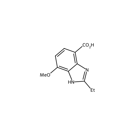 CCc1nc2c(C(=O)O)ccc(OC)c2[nH]1